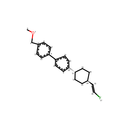 COCc1ccc(-c2ccc([C@H]3CC[C@H](C=CF)CC3)cc2)cc1